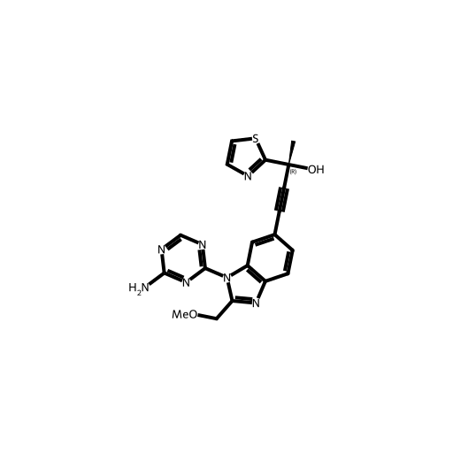 COCc1nc2ccc(C#C[C@@](C)(O)c3nccs3)cc2n1-c1ncnc(N)n1